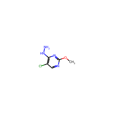 COc1ncc(Cl)c(NN)n1